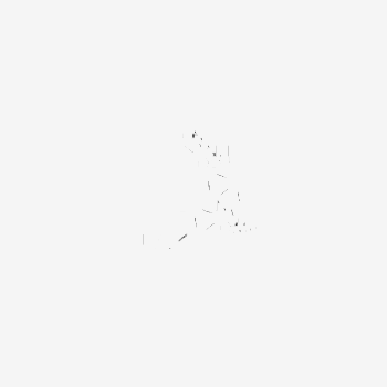 COc1cc(C#CC(C)(C)C(F)(F)F)c(F)cc1-n1c(=O)ccc2cc(S(=O)(=O)Nc3ccon3)ccc21